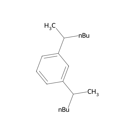 CCCCC(C)c1cccc(C(C)CCCC)c1